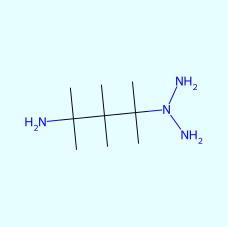 CC(C)(N)C(C)(C)C(C)(C)N(N)N